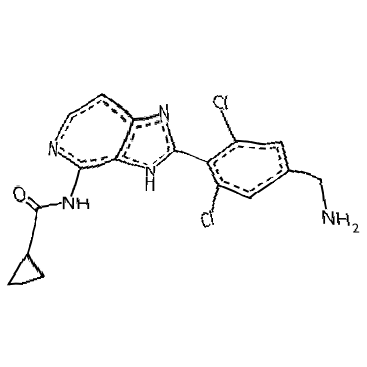 NCc1cc(Cl)c(-c2nc3ccnc(NC(=O)C4CC4)c3[nH]2)c(Cl)c1